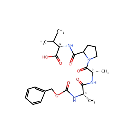 CC(C)[C@H](NC(=O)C1CCCN1C(=O)[C@H](C)NC(=O)[C@H](C)NC(=O)OCc1ccccc1)C(=O)O